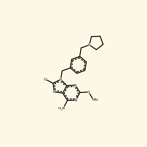 CCCCOc1nc(N)c2nc([O])n(Cc3cccc(CN4CCCC4)c3)c2n1